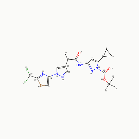 CC(C(=O)Nc1cc(C2CC2)n(C(=O)OC(C)(C)C)n1)c1cnn(-c2csc(C(F)F)n2)c1